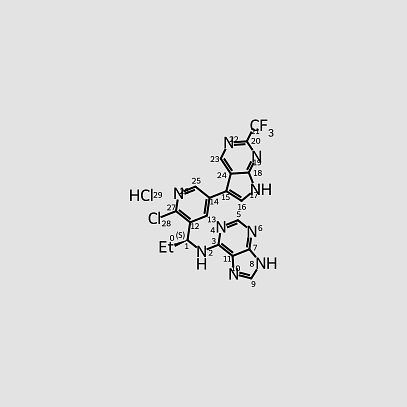 CC[C@H](Nc1ncnc2[nH]cnc12)c1cc(-c2c[nH]c3nc(C(F)(F)F)ncc23)cnc1Cl.Cl